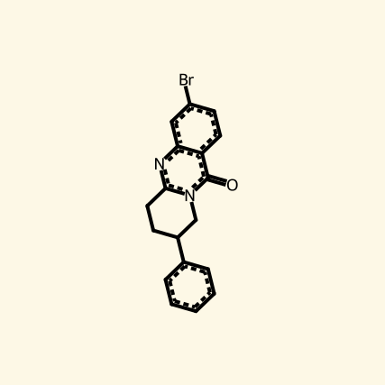 O=c1c2ccc(Br)cc2nc2n1CC(c1ccccc1)CC2